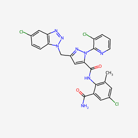 Cc1cc(Cl)cc(C(N)=O)c1NC(=O)c1cc(Cn2nnc3cc(Cl)ccc32)nn1-c1ncccc1Cl